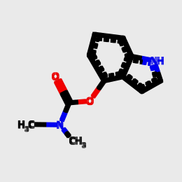 CN(C)C(=O)Oc1cccc2[nH]ccc12